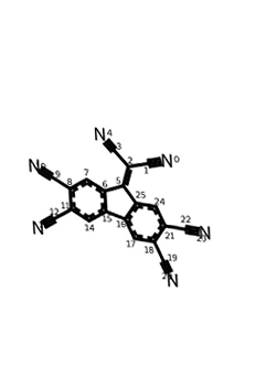 N#CC(C#N)=C1c2cc(C#N)c(C#N)cc2-c2cc(C#N)c(C#N)cc21